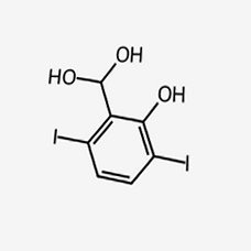 Oc1c(I)ccc(I)c1C(O)O